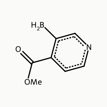 Bc1cnccc1C(=O)OC